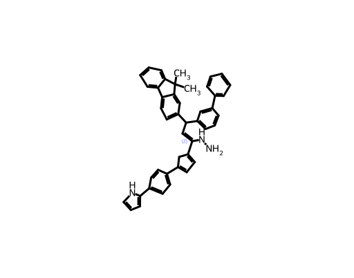 CC1(C)c2ccccc2-c2ccc(C(/C=C(\NN)C3=CC=C(c4ccc(-c5ccc[nH]5)cc4)C3)c3cccc(-c4ccccc4)c3)cc21